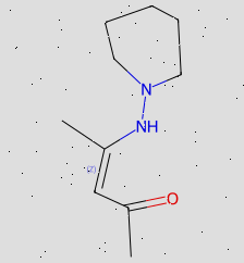 CC(=O)/C=C(/C)NN1CCCCC1